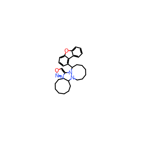 c1ccc2c(c1)oc1cccc(C3CCCCCCN(C4CCCCCCCC4)N3c3conn3)c12